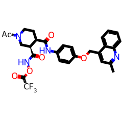 CC(=O)N1CCC(C(=O)Nc2ccc(OCc3cc(C)nc4ccccc34)cc2)[C@@H](C(=O)NOC(=O)C(F)(F)F)C1